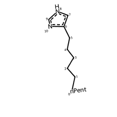 CCCCCCC[CH]CCc1c[nH]cn1